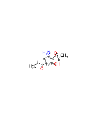 C=CC(=O)c1cc(N)c(C(=O)C=C)c(O)c1